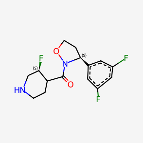 O=C(C1CCNC[C@H]1F)N1OCC[C@H]1c1cc(F)cc(F)c1